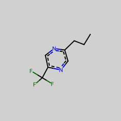 CCCc1cnc(C(F)(F)F)cn1